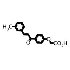 Cc1cccc(/C=C/C(=O)c2ccc(OCC(=O)O)cc2)c1